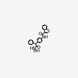 O=C(Nc1ccc(C(C(=O)NO)c2ccccc2)cc1)c1csc2ccccc12